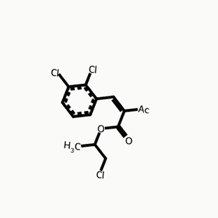 CC(=O)C(=Cc1cccc(Cl)c1Cl)C(=O)OC(C)CCl